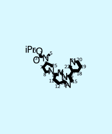 CC(C)OC(=O)N(C)[C@H]1CCN(c2ccc3ncc(-c4cccnc4)n3n2)C1